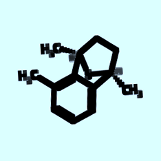 Cc1cccc2c1[C@@]1(C)CC[C@]2(C)S1